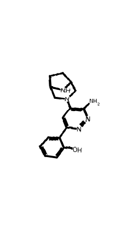 Nc1nnc(-c2ccccc2O)cc1N1CC2CCC(C1)N2